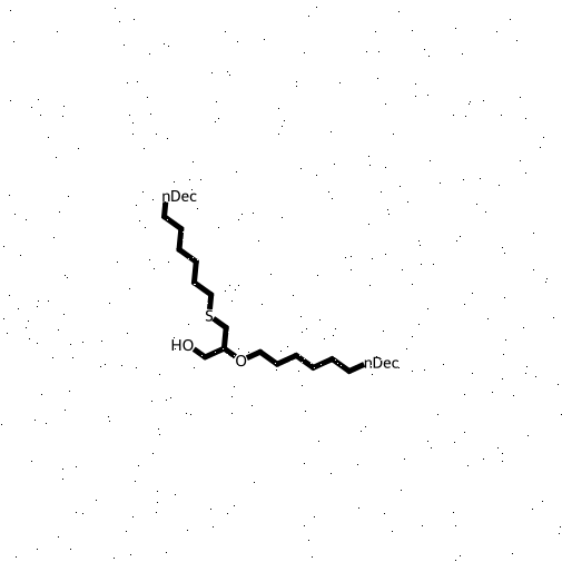 CCCCCCCCCCCCCCCCOC(CO)CSCCCCCCCCCCCCCCCC